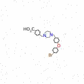 O=C(O)c1ccc(CN2CCCN(Cc3ccc(Oc4ccc(Br)cc4)cc3)CC2)cc1